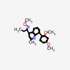 CCC(=NOC)c1cc(C)nc2c(-c3ccc(OC)cc3OC)cccc12